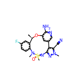 C[C@H]1Oc2cc(cnc2N)-c2c(nn(C)c2C#N)N=S(C)(=O)N(C)c2ccc(F)cc21